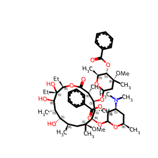 CC[C@H]1OC(=O)[C@H](C)[C@@H](OC2C[C@@](C)(OC)[C@@H](OC(=O)c3ccccc3)[C@H](C)O2)[C@H](C)[C@@H](OC2O[C@H](C)C[C@H](N(C)C)[C@H]2OC(=O)c2ccccc2)[C@@](C)(OC)C[C@@H](C)[C@H](O)[C@H](C)[C@@H](O)[C@@]1(O)CC